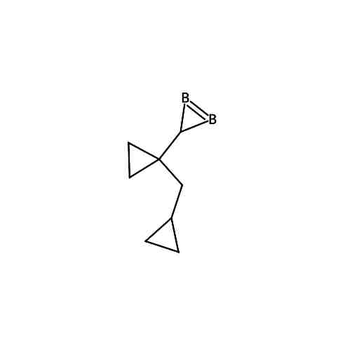 B1=BC1C1(CC2CC2)CC1